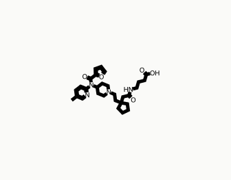 Cc1ccc(N(C(=O)c2ccco2)C2CCN(CCC3(CC(=O)NCCCC(=O)O)CCCC3)CC2)nc1